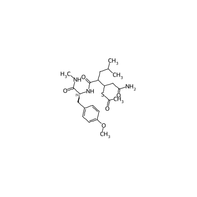 CNC(=O)[C@H](Cc1ccc(OC)cc1)NC(=O)C(CC(C)C)C(CC(N)=O)SC(C)=O